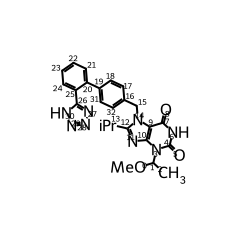 COC(C)n1c(=O)[nH]c(=O)c2c1nc(C(C)C)n2Cc1ccc(-c2ccccc2-c2nnn[nH]2)cc1